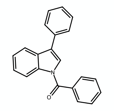 O=C(c1ccccc1)n1cc(-c2ccccc2)c2ccccc21